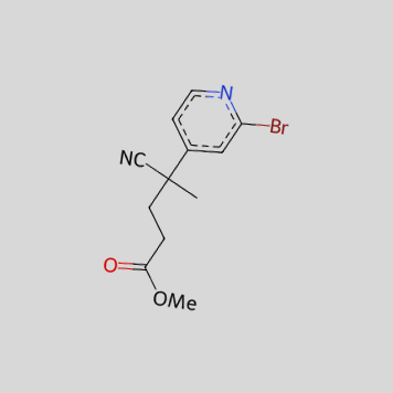 COC(=O)CCC(C)(C#N)c1ccnc(Br)c1